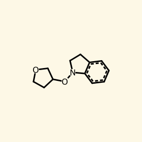 c1ccc2c(c1)CCN2OC1CCOC1